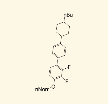 CCCCCCCCCOc1ccc(-c2ccc(C3CCC(CCCC)CC3)cc2)c(F)c1F